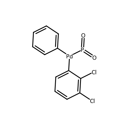 O=[P](=O)[Pd]([c]1ccccc1)[c]1cccc(Cl)c1Cl